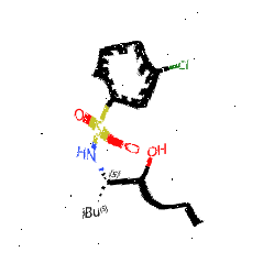 C=CCC(O)[C@@H](NS(=O)(=O)c1cccc(Cl)c1)[C@@H](C)CC